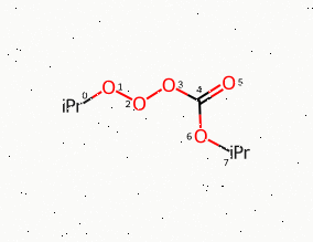 CC(C)OOOC(=O)OC(C)C